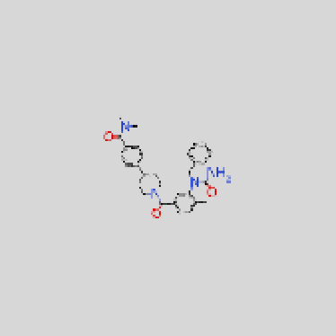 Cc1ccc(C(=O)N2CCC(c3ccc(C(=O)N(C)C)cc3)CC2)cc1N(Cc1ccccc1)C(N)=O